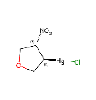 O=[N+]([O-])[C@H]1COC[C@@H]1[Hg][Cl]